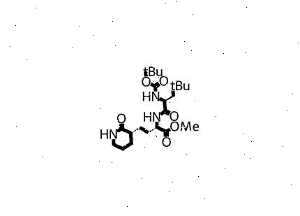 COC(=O)[C@H](CC[C@@H]1CCCNC1=O)NC(=O)[C@H](CC(C)(C)C)NC(=O)OC(C)(C)C